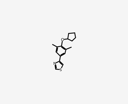 Cc1cc(-c2cscn2)cc(C)c1OC1CCCC1